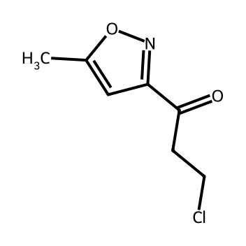 Cc1cc(C(=O)CCCl)no1